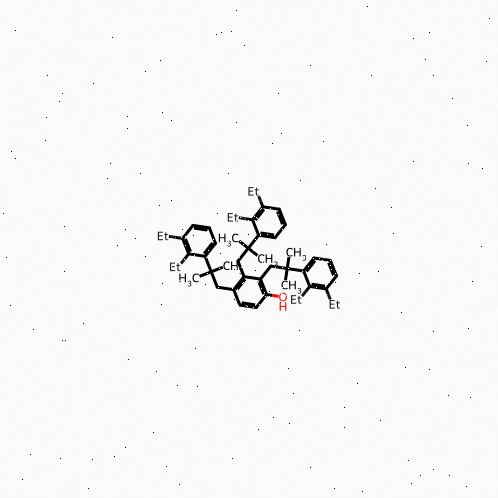 CCc1cccc(C(C)(C)Cc2ccc(O)c(CC(C)(C)c3cccc(CC)c3CC)c2CC(C)(C)c2cccc(CC)c2CC)c1CC